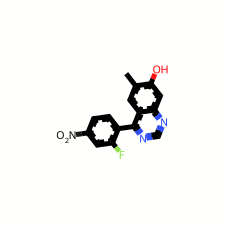 Cc1cc2c(-c3ccc([N+](=O)[O-])cc3F)ncnc2cc1O